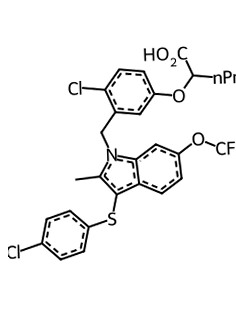 CCCC(Oc1ccc(Cl)c(Cn2c(C)c(Sc3ccc(Cl)cc3)c3ccc(OC(F)(F)F)cc32)c1)C(=O)O